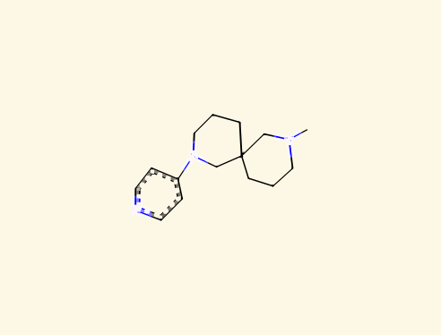 CN1CCCC2(CCCN(c3ccncc3)C2)C1